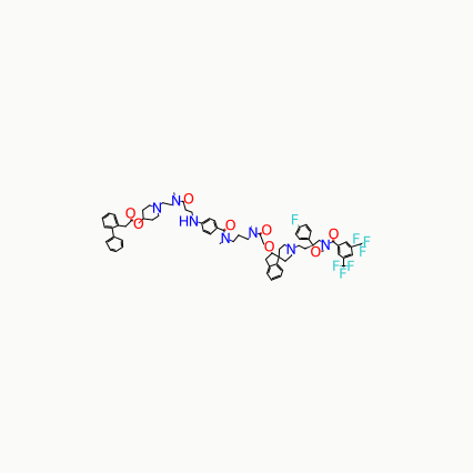 CN(CCN1CCC(OC(=O)Cc2ccccc2-c2ccccc2)CC1)C(=O)CCNc1ccc(C(=O)N(C)CCCN(C)C(=O)CO[C@H]2Cc3ccccc3C23CCN(CC[C@@]2(c4ccc(F)cc4)CN(C(=O)c4cc(C(F)(F)F)cc(C(F)(F)F)c4)CO2)CC3)cc1